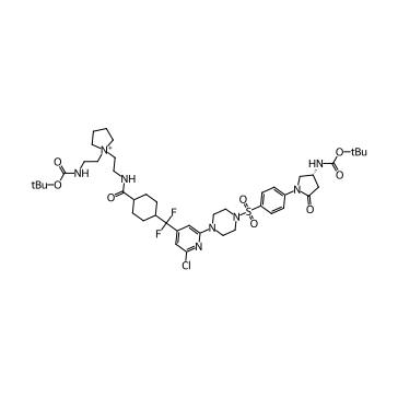 CC(C)(C)OC(=O)NCC[N+]1(CCNC(=O)C2CCC(C(F)(F)c3cc(Cl)nc(N4CCN(S(=O)(=O)c5ccc(N6C[C@H](NC(=O)OC(C)(C)C)CC6=O)cc5)CC4)c3)CC2)CCCC1